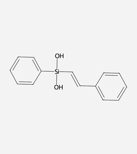 O[Si](O)(C=Cc1ccccc1)c1ccccc1